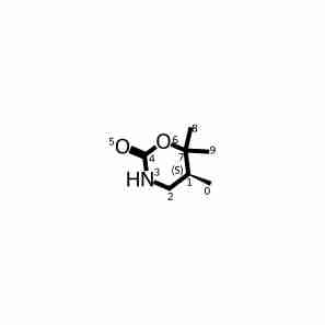 C[C@H]1CNC(=O)OC1(C)C